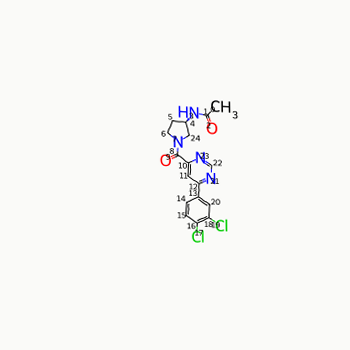 CC(=O)N[C@@H]1CCN(C(=O)c2cc(-c3ccc(Cl)c(Cl)c3)ncn2)C1